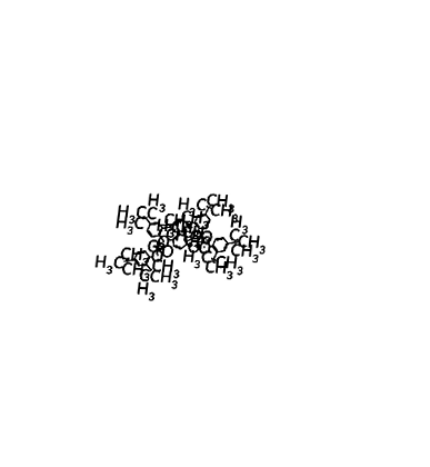 CC(C)(C)c1ccc(OP(=O)(Oc2cccc(OP(=O)(Oc3ccc(C(C)(C)C)cc3C(C)(C)C)Oc3ccc(C(C)(C)C)cc3C(C)(C)C)c2)Oc2ccc(C(C)(C)C)cc2C(C)(C)C)c(C(C)(C)C)c1